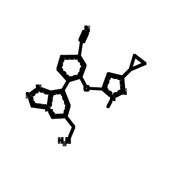 Cn1nc(C2CC2)cc1Oc1cc(C#N)ccc1-c1cc(CN)cn2cnnc12